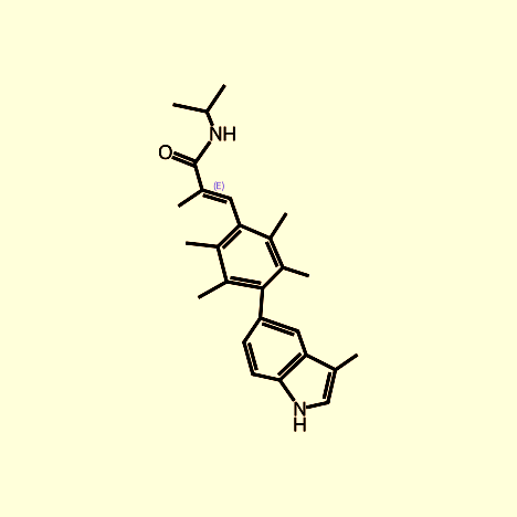 C/C(=C\c1c(C)c(C)c(-c2ccc3[nH]cc(C)c3c2)c(C)c1C)C(=O)NC(C)C